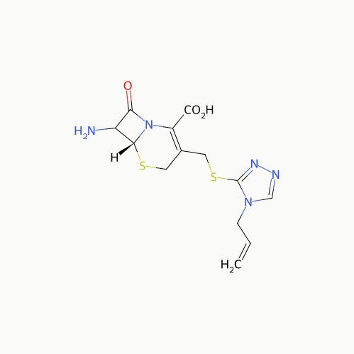 C=CCn1cnnc1SCC1=C(C(=O)O)N2C(=O)C(N)[C@H]2SC1